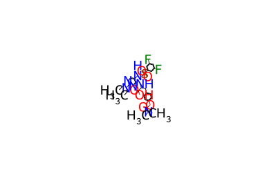 CCN(CC)c1ncc(NCS(=O)(=O)c2cc(F)cc(F)c2)c(NC(Cc2ccc(OC(=O)N(C)C)cc2)C(=O)O)n1